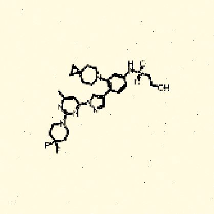 Cc1cc(-n2cc(-c3ccc(NS(=O)(=O)CCO)cc3N3CCC4(CC3)CC4)cn2)nc(N2CCC(F)(F)CC2)n1